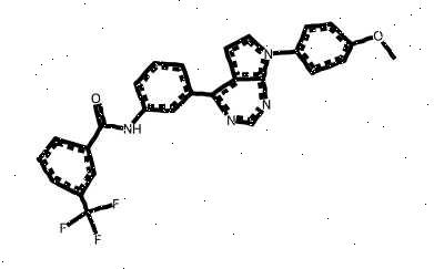 COc1ccc(-n2ccc3c(-c4cccc(NC(=O)c5cccc(C(F)(F)F)c5)c4)ncnc32)cc1